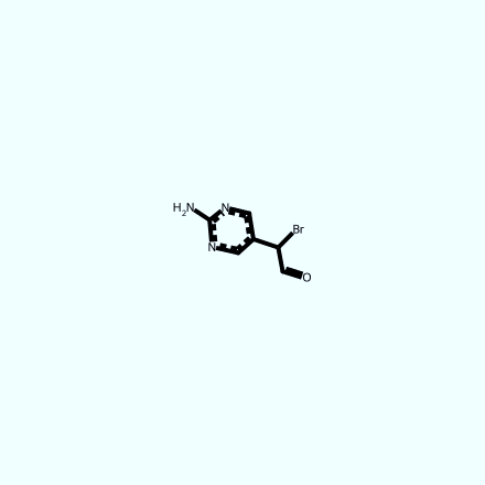 Nc1ncc(C(Br)C=O)cn1